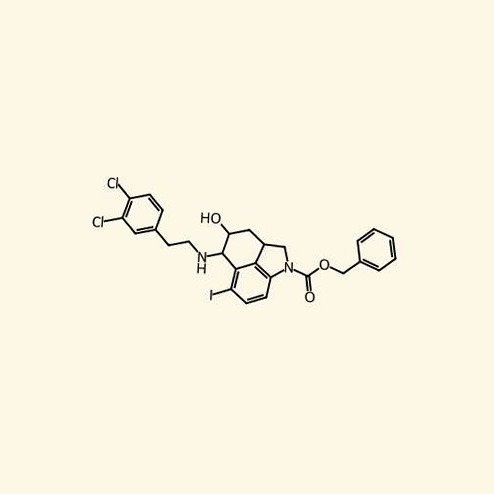 O=C(OCc1ccccc1)N1CC2CC(O)C(NCCc3ccc(Cl)c(Cl)c3)c3c(I)ccc1c32